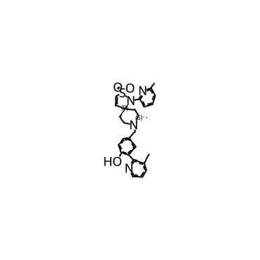 Cc1cccc(N2[C@]3(C=CS2(=O)=O)CCN(Cc2ccc(O)c(-c4ncccc4C)c2)[C@@H](C)C3)n1